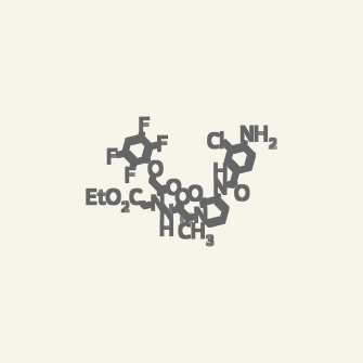 CCOC(=O)CN(NC(=O)[C@@H](C)n1cccc(NC(=O)c2ccc(N)c(Cl)c2)c1=O)C(=O)COc1c(F)c(F)cc(F)c1F